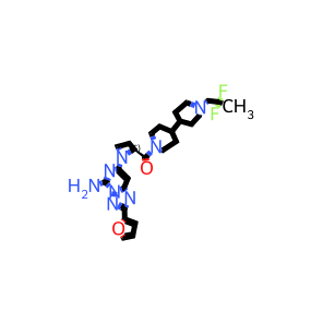 CC(F)(F)CN1CCC(C2CCN(C(=O)[C@@H]3CCN3c3cc4nc(-c5ccco5)nn4c(N)n3)CC2)CC1